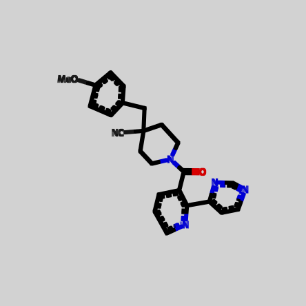 COc1ccc(CC2(C#N)CCN(C(=O)c3cccnc3-c3ccncn3)CC2)cc1